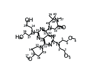 COCCN(CCOC)c1nc(N2CCC(OC)CC2)c2nc(N(CCO)CCO)nc(N3CC(=O)N(C)C(C)(C)C3)c2n1